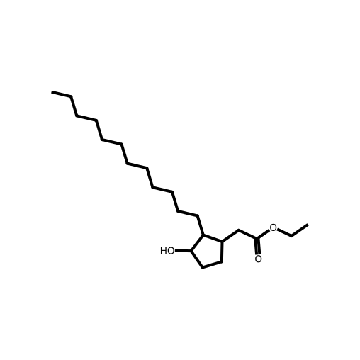 CCCCCCCCCCCCC1C(O)CCC1CC(=O)OCC